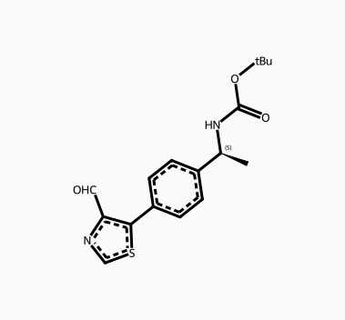 C[C@H](NC(=O)OC(C)(C)C)c1ccc(-c2scnc2C=O)cc1